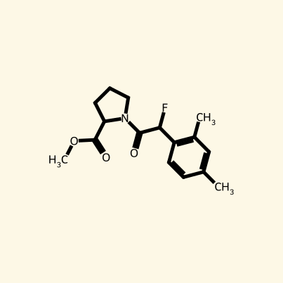 COC(=O)C1CCCN1C(=O)C(F)c1ccc(C)cc1C